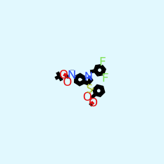 COC(=O)c1ccccc1Sc1cn(Cc2cc(F)cc(F)c2)c2cc(N(C)C(=O)OC(C)(C)C)ccc12